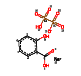 O=C(O)c1ccccc1O.O=S(=O)([O-])S(=O)(=O)O.[Na+]